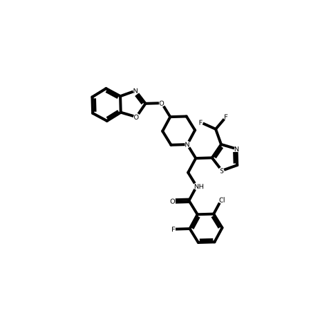 O=C(NCC(c1scnc1C(F)F)N1CCC(Oc2nc3ccccc3o2)CC1)c1c(F)cccc1Cl